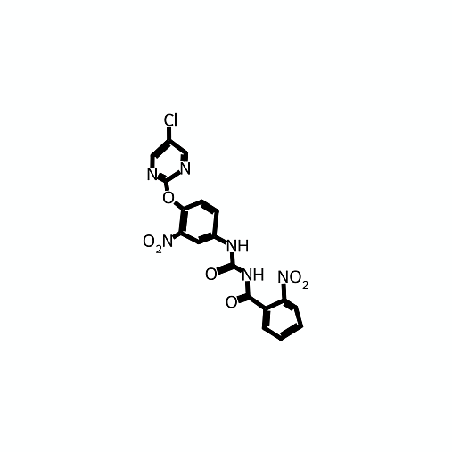 O=C(NC(=O)c1ccccc1[N+](=O)[O-])Nc1ccc(Oc2ncc(Cl)cn2)c([N+](=O)[O-])c1